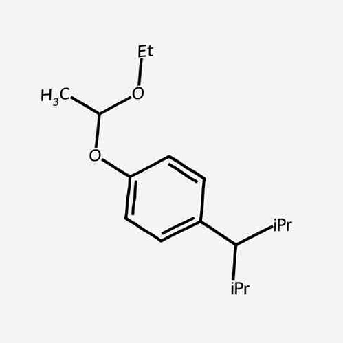 CCOC(C)Oc1ccc(C(C(C)C)C(C)C)cc1